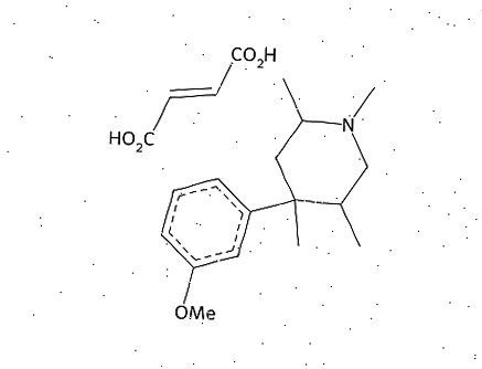 COc1cccc(C2(C)CC(C)N(C)CC2C)c1.O=C(O)C=CC(=O)O